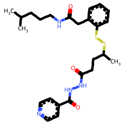 CC(C)CCCNC(=O)Cc1ccccc1SSC(C)CCC(=O)NNC(=O)c1ccncc1